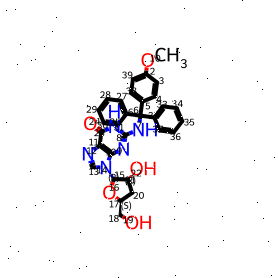 COc1ccc(C(Nc2nc3c(ncn3[C@@H]3O[C@H](CO)C[C@H]3O)c(=O)[nH]2)(c2ccccc2)c2ccccc2)cc1